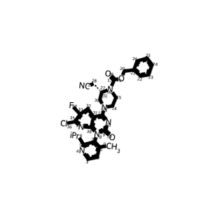 Cc1ccnc(C(C)C)c1-n1c(=O)nc(N2CCN(C(=O)OCc3ccccc3)[C@@H](CC#N)C2)c2cc(F)c(Cl)nc21